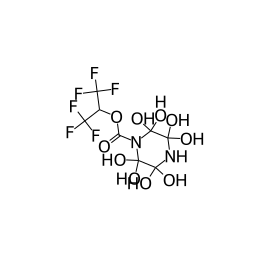 O=C(OC(C(F)(F)F)C(F)(F)F)N1C(O)(O)C(O)(O)NC(O)(O)C1(O)O